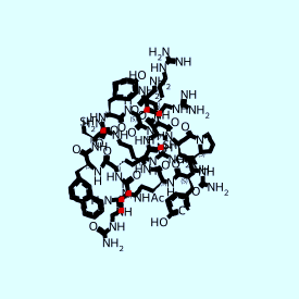 CC(=O)N[C@@H](CCCNC(N)=O)C(=O)N[C@@H](CCCNC(=N)N)C(=O)N[C@@H](Cc1ccc2ccccc2c1)C(=O)N[C@@H](CS)C(=O)N[C@@H](Cc1ccc(O)cc1)C(=O)N[C@@H](CCCNC(=N)N)C(=O)N[C@@H](CCCCN)C(=O)N[C@H](CCCNC(N)=O)C(=O)N1CCC[C@H]1C(=O)N[C@@H](Cc1ccc(O)cc1)C(=O)N[C@@H](CCCNC(=N)N)C(=O)N[C@@H](CCCNC(N)=O)C(=O)N[C@@H](CS)C(=O)N[C@@H](CCCNC(=N)N)C(N)=O